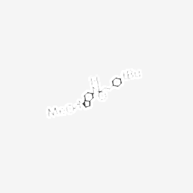 COCCn1ccc2cc(NC(=O)CCc3ccc(C(C)(C)C)cc3)ccc21